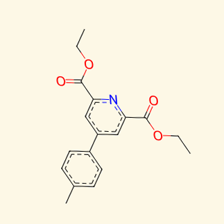 CCOC(=O)c1cc(-c2ccc(C)cc2)cc(C(=O)OCC)n1